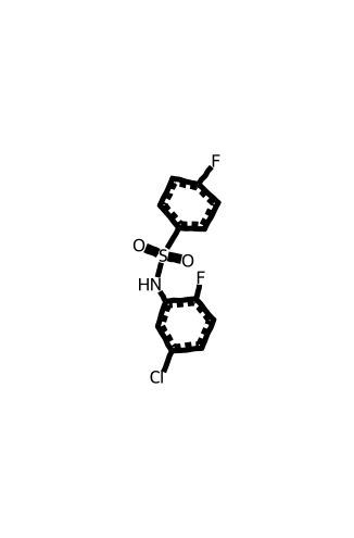 O=S(=O)(Nc1cc(Cl)ccc1F)c1ccc(F)cc1